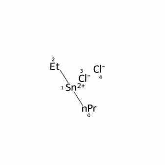 CC[CH2][Sn+2][CH2]C.[Cl-].[Cl-]